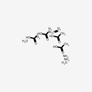 C=C.CC(=O)O.CC(=O)O.CC(=O)O.CC(=O)O.N.N.O.O